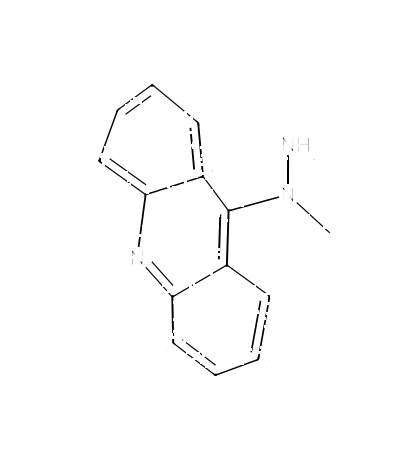 CN(N)c1c2ccccc2nc2ccccc12